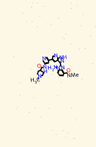 CNC(=O)c1cccc2c1nc(-c1n[nH]c3ncc(-c4cncc(NC(=O)C5CCN(C)CC5)c4)cc13)n2N